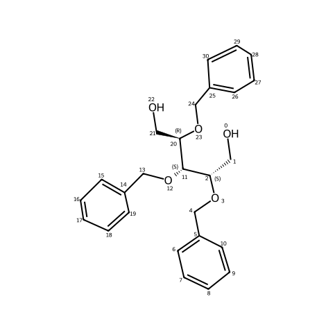 OC[C@H](OCc1ccccc1)[C@H](OCc1ccccc1)[C@@H](CO)OCc1ccccc1